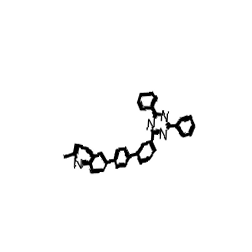 Cc1ccc2cc(-c3ccc(-c4cccc(-c5nc(-c6ccccc6)nc(-c6ccccc6)n5)c4)cc3)ccc2n1